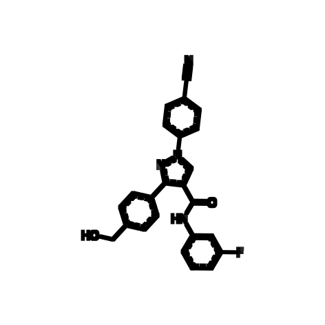 N#Cc1ccc(-n2cc(C(=O)Nc3cccc(F)c3)c(-c3ccc(CO)cc3)n2)cc1